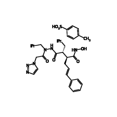 CC(C)C[C@@H](C(=O)NN(CC(C)C)C(=O)Cn1ccnn1)[C@H](CC=Cc1ccccc1)C(=O)NO.Cc1ccc(S(=O)(=O)O)cc1